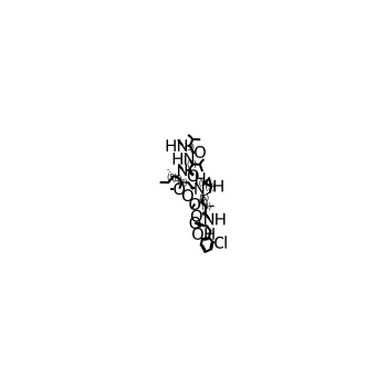 CC[C@H](C)[C@@H]([C@@H](CC(=O)N1[C@H]2C[C@H]2C[C@H]1[C@H](OC)[C@@H](C)C(=O)NC(Cc1ccccc1Cl)C(=O)O)OC)N(C)C(=O)[C@@H](NC(=O)[C@@H](NC)C(C)C)C(C)C